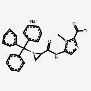 Cn1c(NC(=O)C2C[N@@]2C(c2ccccc2)(c2ccccc2)c2ccccc2)cnc1C(=O)[O-].[Na+]